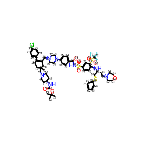 CC1(CN2CCC(NC(=O)OC(C)(C)C)CC2)CCC(c2ccc(Cl)cc2)=C(CN2CCN(c3ccc(C(=O)NS(=O)(=O)c4ccc(N[C@H](CCN5CCOCC5)CSc5ccccc5)c(S(=O)(=O)C(F)(F)F)c4)cc3)CC2)C1